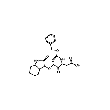 O=C(O)CC(NC(=O)OCc1ccccc1)C(=O)COC1C(=O)NC2CCCCC21